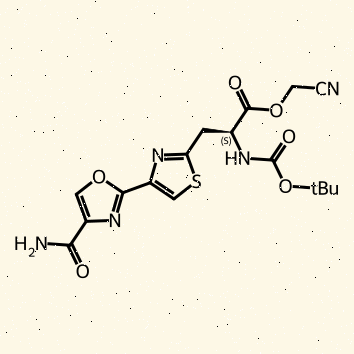 CC(C)(C)OC(=O)N[C@@H](Cc1nc(-c2nc(C(N)=O)co2)cs1)C(=O)OCC#N